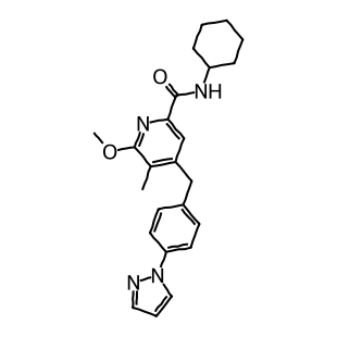 COc1nc(C(=O)NC2CCCCC2)cc(Cc2ccc(-n3cccn3)cc2)c1C